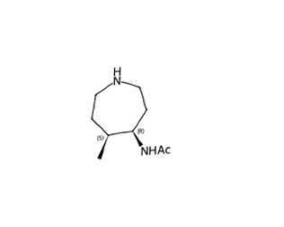 CC(=O)N[C@@H]1CCNCC[C@@H]1C